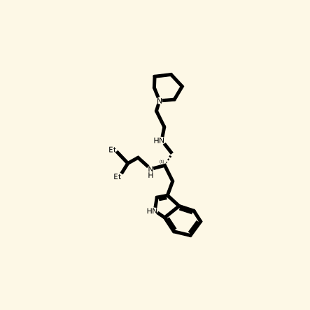 CCC(CC)CN[C@H](CNCCN1CCCCC1)Cc1c[nH]c2ccccc12